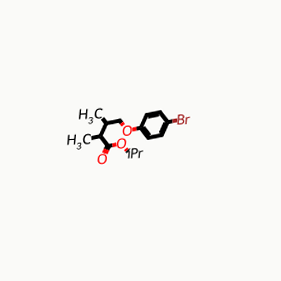 CC(C)OC(=O)C(C)C(C)COc1ccc(Br)cc1